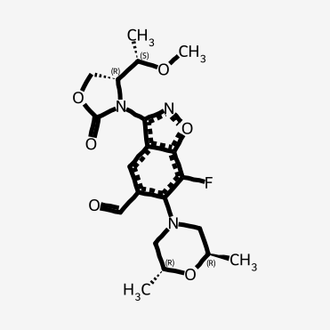 CO[C@@H](C)[C@H]1COC(=O)N1c1noc2c(F)c(N3C[C@@H](C)O[C@H](C)C3)c(C=O)cc12